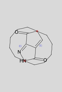 O=C1CCCCCCC/C=C1\C1=N/NCCCCCCC1=O